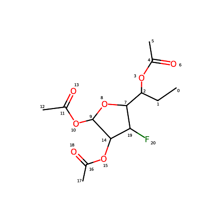 CCC(OC(C)=O)C1OC(OC(C)=O)C(OC(C)=O)C1F